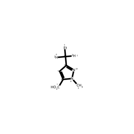 [2H]C([2H])(CC)c1cc(C(=O)O)n(C)n1